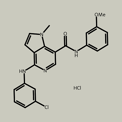 COc1cccc(NC(=O)c2cnc(Nc3cccc(Cl)c3)c3ccn(C)c23)c1.Cl